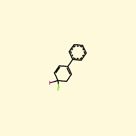 FC1(I)C=CC(c2ccccc2)=CC1